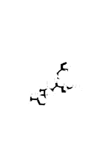 Nc1nc(C(=NOCc2ccon2)C(=O)NC2C(=O)N3C(C(=O)O)=CCS[C@@H]23)cs1